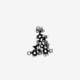 COC(=O)c1ccc(C(=O)C[C@H]2[C@@H]([N+](=O)[O-])[C@H](c3cccc(Cl)c3F)[C@H](C(=O)Nc3cc(Cl)ccc3C)N2CC2CC2)c([N+](=O)[O-])c1